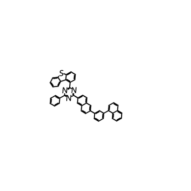 c1ccc(-c2nc(-c3ccc4cc(-c5cccc(-c6cccc7ccccc67)c5)ccc4c3)nc(-c3cccc4sc5ccccc5c34)n2)cc1